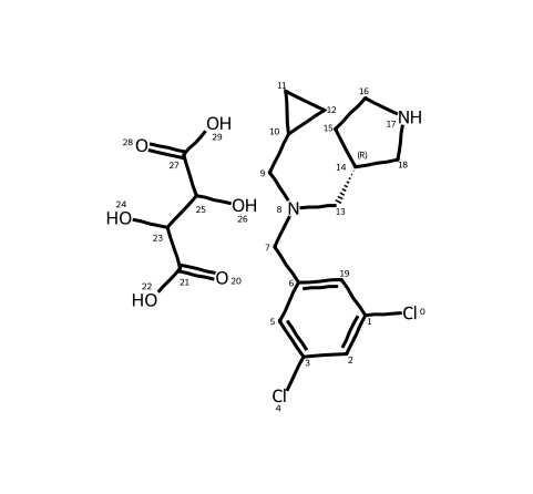 Clc1cc(Cl)cc(CN(CC2CC2)C[C@@H]2CCNC2)c1.O=C(O)C(O)C(O)C(=O)O